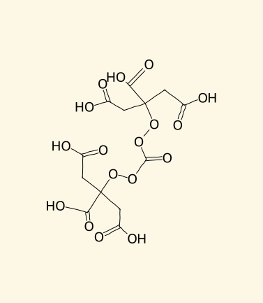 O=C(O)CC(CC(=O)O)(OOC(=O)OOC(CC(=O)O)(CC(=O)O)C(=O)O)C(=O)O